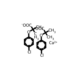 CC(C)(Oc1ccc(Cl)cc1)C(=O)[O-].CC(C)(Oc1ccc(Cl)cc1)C(=O)[O-].[Ca+2]